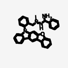 NC(NN(I)Cc1ccccc1-n1c2ccccc2c2cc3c(cc21)oc1ccccc13)c1ccccc1